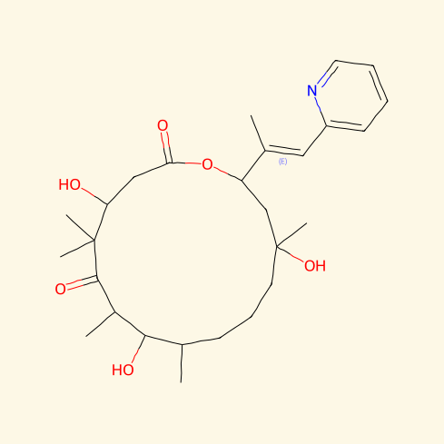 C/C(=C\c1ccccn1)C1CC(C)(O)CCCC(C)C(O)C(C)C(=O)C(C)(C)C(O)CC(=O)O1